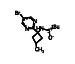 CC1CC(N[S+]([O-])C(C)(C)C)(c2ncc(Br)cn2)C1